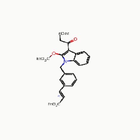 CCCCCCCCCCCC(=O)c1c(OC(=O)OCC)n(Cc2cccc(/C=C/C(=O)OCC)c2)c2ccccc12